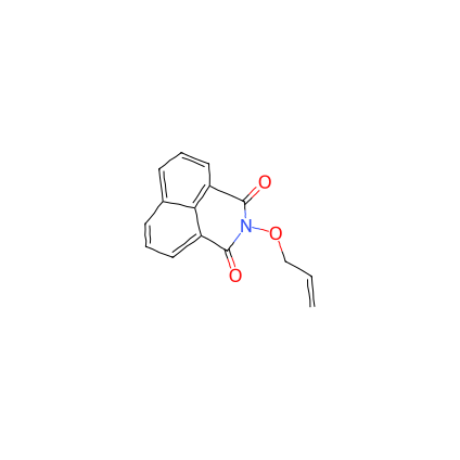 C=CCON1C(=O)c2cccc3cccc(c23)C1=O